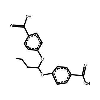 CCCC(Oc1ccc(C(=O)O)cc1)Oc1ccc(C(=O)O)cc1